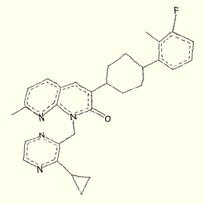 Cc1ccc2cc(C3CCC(c4cccc(F)c4C)CC3)c(=O)n(Cc3nccnc3C3CC3)c2n1